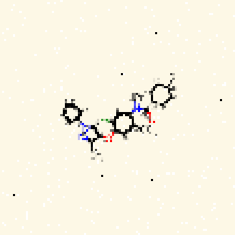 CC(C)N(c1cc(F)c(Oc2cn(-c3ccccc3)nc2C(F)(F)F)cc1C(=O)O)C(=O)[C@H]1CC[C@H](C)CC1